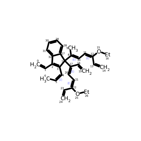 C=CC1=C(/C=C\C)C(/C(C)=C/C=C(\C=C)OCC)(/C(C=C)=C/C=C(\C=C)OCC)c2ccccc21